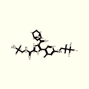 Cc1cc(NCC(C)(C)C(F)(F)F)ncc1-c1sc(C(=O)NCC(C)(C)O)nc1C(=O)N1C2CCC1CC2